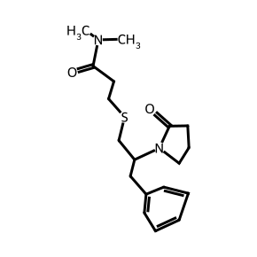 CN(C)C(=O)CCSCC(Cc1ccccc1)N1CCCC1=O